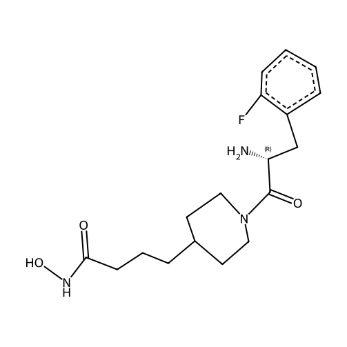 N[C@H](Cc1ccccc1F)C(=O)N1CCC(CCCC(=O)NO)CC1